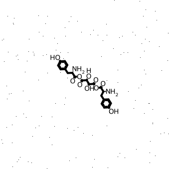 N[C@@H](Cc1ccc(O)cc1)C(=O)OC(=O)C(O)C(O)C(=O)OC(=O)[C@@H](N)Cc1ccc(O)cc1